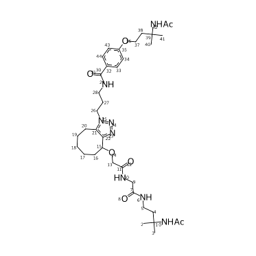 CC(=O)NC(C)(C)CCNC(=O)CNC(=O)COC1CCCCCc2c1nnn2CCCNC(=O)c1ccc(OCCC(C)(C)NC(C)=O)cc1